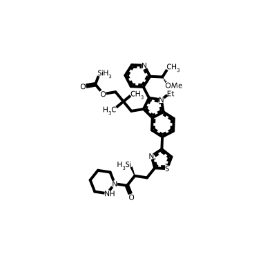 CCn1c(-c2cccnc2[C@H](C)OC)c(CC(C)(C)COC(=O)[SiH3])c2cc(-c3csc(C[C@H]([SiH3])C(=O)N4CCCCN4)n3)ccc21